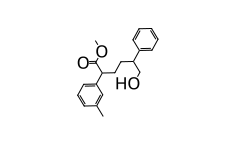 COC(=O)C(CCC(CO)c1ccccc1)c1cccc(C)c1